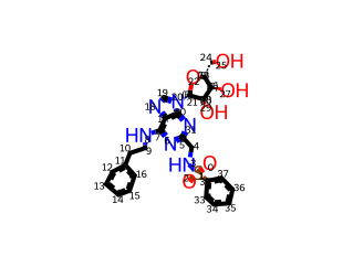 O=S(=O)(NCc1nc(NCCc2ccccc2)c2ncn([C@@H]3O[C@H](CO)[C@@H](O)[C@H]3O)c2n1)c1ccccc1